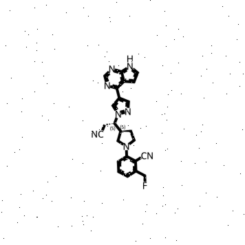 N#CC[C@@H]([C@H]1CCN(c2cccc(CF)c2C#N)C1)n1cc(-c2ncnc3[nH]ccc23)cn1